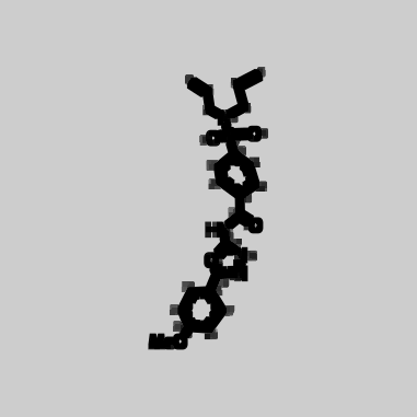 C=CCN(CC=C)S(=O)(=O)c1ccc(C(=O)Nc2nnc(-c3ccc(OC)cc3)o2)cc1